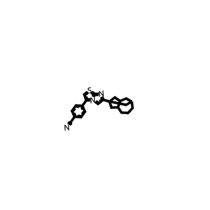 N#Cc1ccc(-c2csc3nc(C45CC6CCCC(C4)C(C6)C5)cn23)cc1